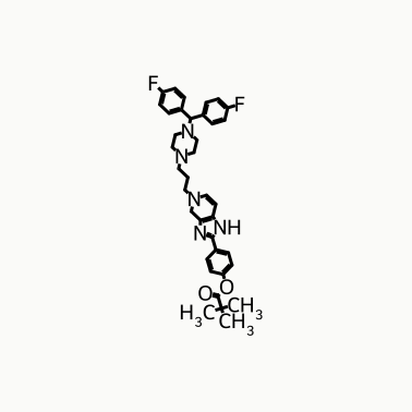 CC(C)(C)C(=O)Oc1ccc(-c2nc3c([nH]2)C=CN(CCCN2CCN(C(c4ccc(F)cc4)c4ccc(F)cc4)CC2)C3)cc1